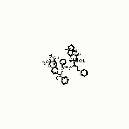 CC1(C)Oc2ccc(S(=O)(=O)c3ccccc3)cc2[C@@H](N2CCCC2=O)[C@@H]1O.CCOC(=O)[C@H](CCc1ccccc1)N[C@@H](C)C(=O)N1[C@H](C(=O)O)C[C@@H]2CCC[C@@H]21